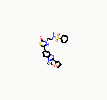 Cn1c(-c2ccco2)nc2cc(C3=NN(CCNS(=O)(=O)c4ccccc4)C(=O)SC3)ccc21